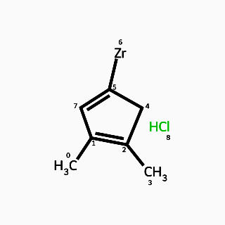 CC1=C(C)C[C]([Zr])=C1.Cl